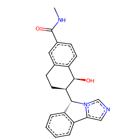 CNC(=O)c1ccc2c(c1)CC[C@H]([C@H]1c3ccccc3-c3cncn31)[C@@H]2O